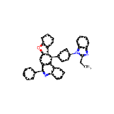 CCc1nc2ccccc2n1-c1ccc(-c2c3c(cc4c(-c5ccccc5)nc5ccccc5c24)oc2ccccc23)cc1